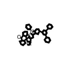 O=C1c2ccccc2C2(c3ccccc31)c1ccccc1-c1cc3c4cc(-c5cc(-c6ccccc6)cc(-c6ccccc6)c5)ccc4n(-c4ccccc4)c3cc12